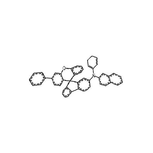 C1=CC(N(c2ccc3c(c2)C2(c4ccccc4Oc4cc(-c5ccccc5)ccc42)c2ccccc2-3)c2ccc3ccccc3c2)=CCC1